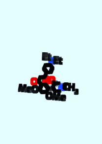 CCN(CC)c1ccc(-c2cc(=O)c3c(OC)cc(OC)c([C@H]4CCN(C)C[C@H]4O)c3o2)cc1